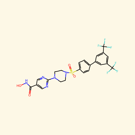 O=C(NO)c1cnc(N2CCN(S(=O)(=O)c3ccc(-c4cc(C(F)(F)F)cc(C(F)(F)F)c4)cc3)CC2)nc1